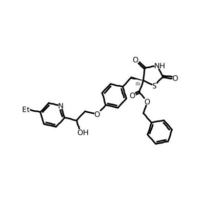 CCc1ccc(C(O)COc2ccc(C[C@]3(C(=O)OCc4ccccc4)SC(=O)NC3=O)cc2)nc1